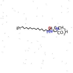 CC(C)CCCCCCCCCCCCCCC(=O)NCCC(C(=O)O)N(C)C